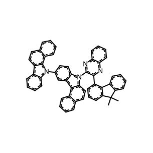 CC1(C)c2ccccc2-c2c(-c3nc4ccccc4nc3-n3c4ccc(-n5c6ccccc6c6ccc7ccccc7c65)cc4c4c5ccccc5ccc43)cccc21